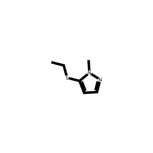 CCSc1c[c]nn1C